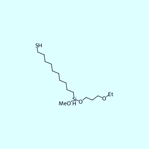 CCOCCCO[SiH](CCCCCCCCCCS)OC